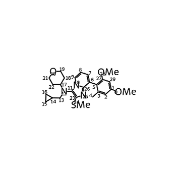 COc1cc(C)c(-c2cccn3c(N(CC4CC4)C4CCOCC4)c(SC)nc23)c(OC)c1